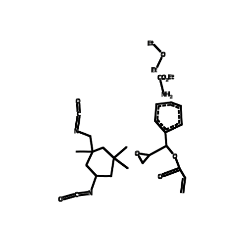 C=CC(=O)OC(c1ccccc1)C1CO1.CC1(C)CC(N=C=O)CC(C)(CN=C=O)C1.CCOC(N)=O.CCOCC